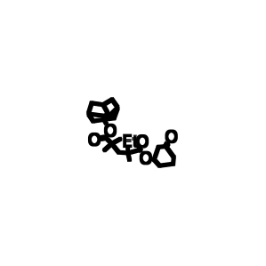 CCC(C)(CC(C)(C)C(=O)OC12CC3CC(CC(C3)C1)C2)C(=O)OC1CCCC(=O)C1